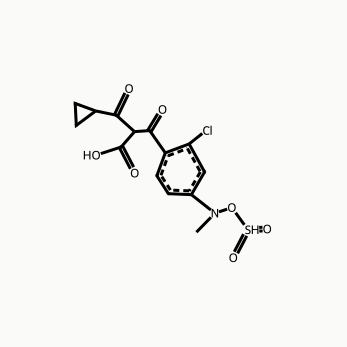 CN(O[SH](=O)=O)c1ccc(C(=O)C(C(=O)O)C(=O)C2CC2)c(Cl)c1